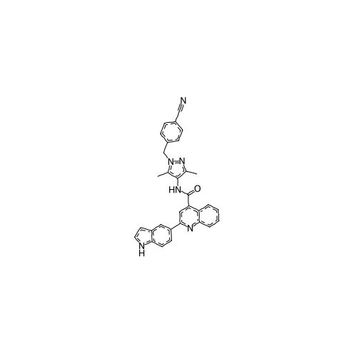 Cc1nn(Cc2ccc(C#N)cc2)c(C)c1NC(=O)c1cc(-c2ccc3[nH]ccc3c2)nc2ccccc12